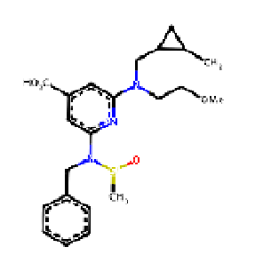 COCCN(CC1CC1C)c1cc(C(=O)O)cc(N(Cc2ccccc2)[S+](C)[O-])n1